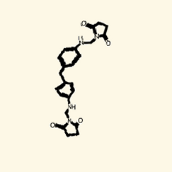 O=C1CCC(=O)N1CNc1ccc(Cc2ccc(NCN3C(=O)CCC3=O)cc2)cc1